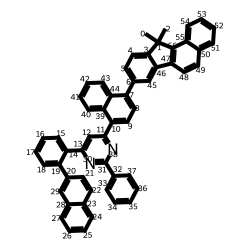 CC1(C)c2ccc(-c3ccc(-c4cc(-c5ccccc5-c5ccc6ccccc6c5)nc(-c5ccccc5)n4)c4ccccc34)cc2-c2ccc3ccccc3c21